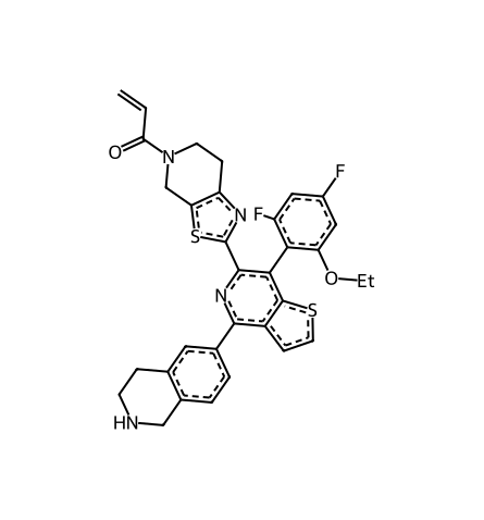 C=CC(=O)N1CCc2nc(-c3nc(-c4ccc5c(c4)CCNC5)c4ccsc4c3-c3c(F)cc(F)cc3OCC)sc2C1